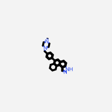 CN1CCN(Cc2ccc(-c3cc4ccc5[nH]ncc5c4c4c3CCCC4)cc2)CC1